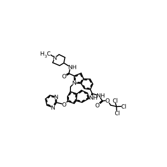 CN1CCC(NC(=O)c2cc3ccc(C(=N)NC(=O)OCC(Cl)(Cl)Cl)cc3n2Cc2cc(Oc3ncccn3)cc3ccccc23)CC1